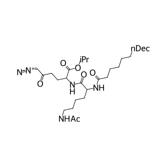 CCCCCCCCCCCCCCCC(=O)NC(CCCCNC(C)=O)C(=O)NC(CCC(=O)C=[N+]=[N-])C(=O)OC(C)C